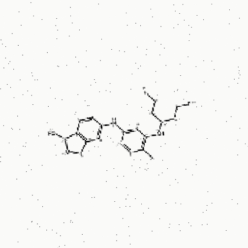 Cc1cnc(Nc2ccc3c(c2)COB3O)nc1NC(CCF)CCF